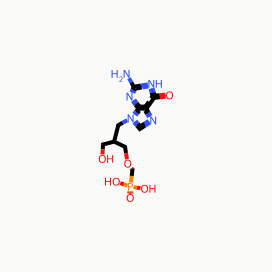 Nc1nc2c(ncn2CC(CO)COCP(=O)(O)O)c(=O)[nH]1